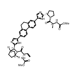 C=C[C@H](NC(=O)OC)C(=O)N1[C@@H]2CC[C@@H](C2)[C@H]1c1ncc(-c2ccc3c(c2)CCc2cc(-c4cnc([C@@H]5CCCN5C(=O)[C@H](C)NC(=O)OC)[nH]4)ccc2-3)[nH]1